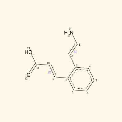 N/C=C/c1ccccc1/C=C/C(=O)O